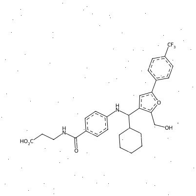 O=C(O)CCNC(=O)c1ccc(NC(c2cc(-c3ccc(C(F)(F)F)cc3)oc2CO)C2CCCCC2)cc1